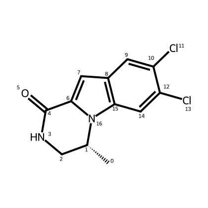 C[C@@H]1CNC(=O)c2cc3cc(Cl)c(Cl)cc3n21